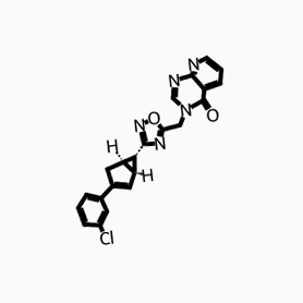 O=c1c2cccnc2ncn1Cc1nc([C@@H]2[C@H]3C=C(c4cccc(Cl)c4)C[C@H]32)no1